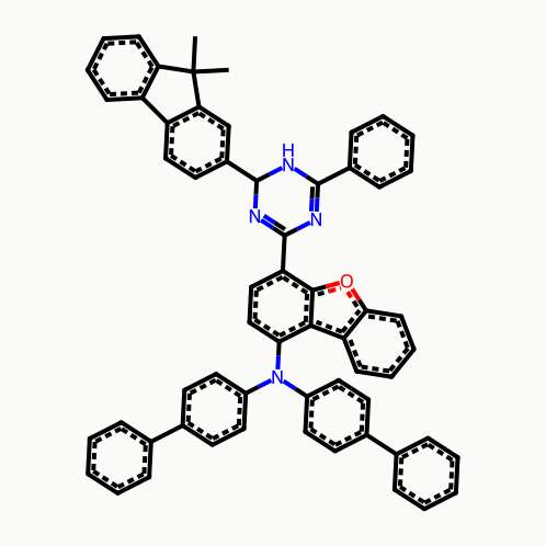 CC1(C)c2ccccc2-c2ccc(C3N=C(c4ccc(N(c5ccc(-c6ccccc6)cc5)c5ccc(-c6ccccc6)cc5)c5c4oc4ccccc45)N=C(c4ccccc4)N3)cc21